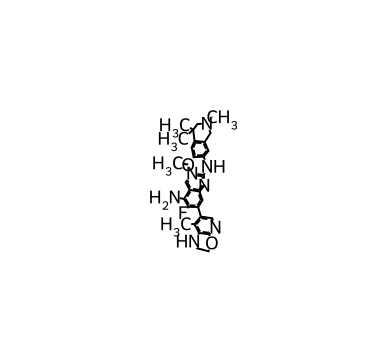 COc1cc2c(cc1Nc1ncc3c(N)c(F)c(-c4cnc5c(c4C)NCCO5)cc3n1)CN(C)CC2(C)C